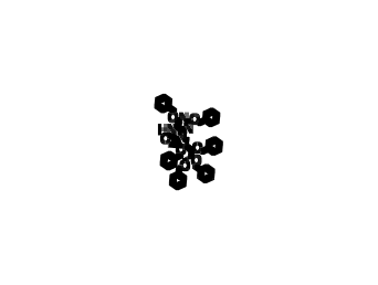 O=C1Nc2c(OCc3ccccc3)nc(OCc3ccccc3)nc2N(C[C@H](OCc2ccccc2)[C@H](OCc2ccccc2)[C@@H](COCc2ccccc2)OCc2ccccc2)C12CC2